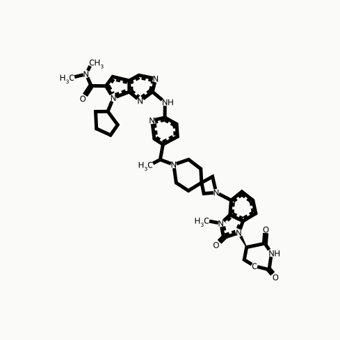 CC(c1ccc(Nc2ncc3cc(C(=O)N(C)C)n(C4CCCC4)c3n2)nc1)N1CCC2(CC1)CN(c1cccc3c1n(C)c(=O)n3[C@@H]1CCC(=O)NC1=O)C2